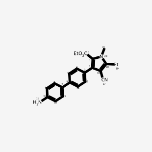 CCOC(=O)c1c(-c2ccc(-c3ccc(N)cc3)cc2)c(C#N)c(CC)n1C